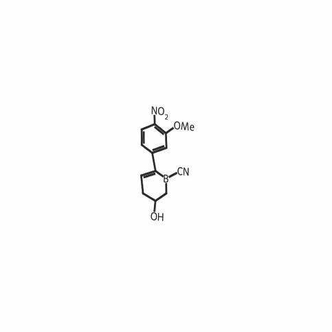 COc1cc(C2=CCC(O)CB2C#N)ccc1[N+](=O)[O-]